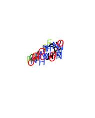 CCn1c(-c2cc(N3CCN(C)CC3)cnc2[C@H](C)OC)c2c3cc(c(F)cc31)-c1csc(n1)C[C@H](NC(=O)[C@H](C(C)C)N1CC[C@@]3(CCN(C(=O)[C@H](F)Cl)C3)C1=O)C(O)N1CCC[C@H](N1)C(=O)OCC(C)(C)C2